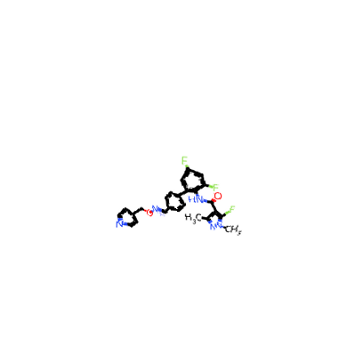 Cc1nn(C)c(F)c1C(=O)Nc1c(F)cc(F)cc1-c1ccc(/C=N/OCc2ccncc2)cc1